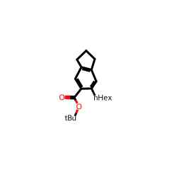 CCCCCCc1cc2c(cc1C(=O)OC(C)(C)C)CCC2